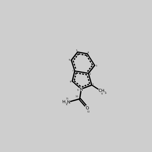 Cc1c2ccccc2cn1C(N)=O